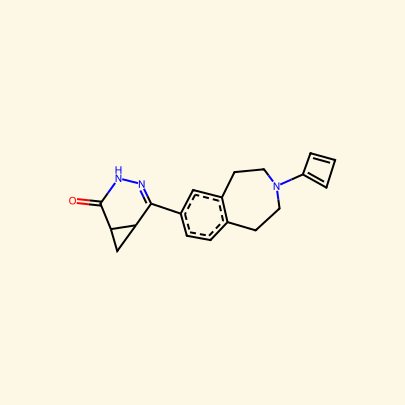 O=C1NN=C(c2ccc3c(c2)CCN(C2=CC=C2)CC3)C2CC12